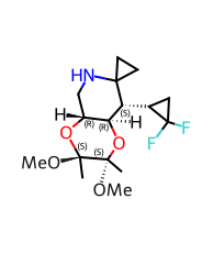 CO[C@@]1(C)O[C@@H]2[C@@H](C3CC3(F)F)C3(CC3)NC[C@H]2O[C@]1(C)OC